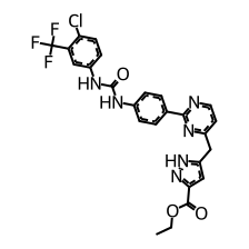 CCOC(=O)c1cc(Cc2ccnc(-c3ccc(NC(=O)Nc4ccc(Cl)c(C(F)(F)F)c4)cc3)n2)[nH]n1